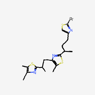 Cc1nc(C(C)Cc2nc(C(C)CCc3csc(C(C)C)n3)sc2C)sc1C